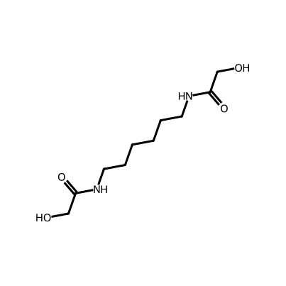 O=C(CO)NCCCCCCNC(=O)CO